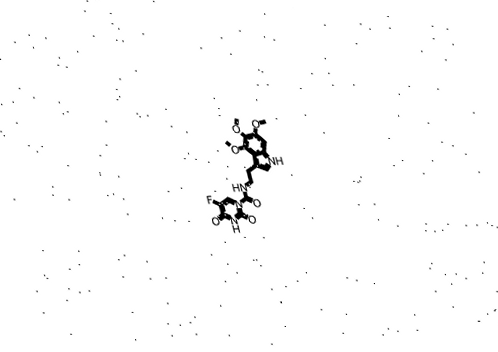 COc1cc2[nH]cc(CCNC(=O)n3cc(F)c(=O)[nH]c3=O)c2c(OC)c1OC